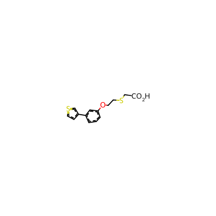 O=C(O)CSCCOc1cccc(-c2ccsc2)c1